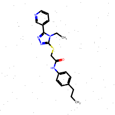 CCCc1ccc(NC(=O)CSc2nnc(-c3cccnc3)n2CC)cc1